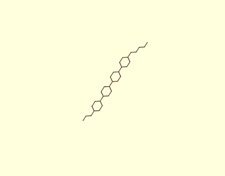 CCCCCC1CCC(C2CCC(C3CCC(C4CCC(CCC)CC4)CC3)CC2)CC1